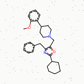 COc1ccccc1C1CCN(Cc2oc(C3CCCCC3)nc2Cc2ccccc2)CC1